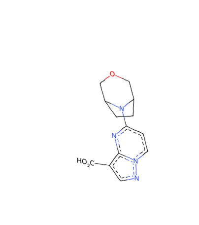 O=C(O)c1cnn2ccc(N3C4CCC3COC4)nc12